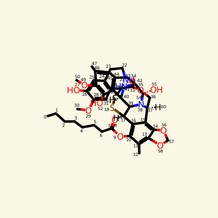 CCCCCCCC(=O)Oc1c(C)c2c(c3c1[C@H]1SC[C@]4(NCCc5cc(O)c(OC)cc54)C(=O)OC[C@@H]3N3C1[C@@H]1NC(Cc4cc(C)c(OC)c(O)c41)[C@@H]3O)OCO2